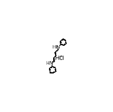 C(/C=C/Nc1ccccc1)=C\CNc1ccccc1.Cl